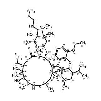 CCCNC[C@]1(O)[C@H](C)O[C@@H](O[C@H]2[C@H](C)[C@@H](O[C@@H]3O[C@H](C)C[C@H](N(C)C)[C@H]3Oc3cccnc3OCC)[C@](C)(O)C[C@@H](C)CN[C@H](C)[C@@H](O)[C@](C)(O)[C@@H](CC)OC(=O)[C@@H]2C)C[C@@]1(C)OC